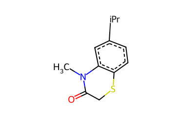 CC(C)c1ccc2c(c1)N(C)C(=O)CS2